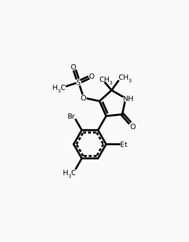 CCc1cc(C)cc(Br)c1C1=C(OS(C)(=O)=O)C(C)(C)NC1=O